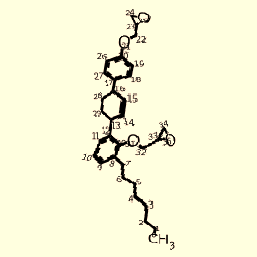 CCCCCCCCc1cccc(C2C=CC(c3ccc(OCC4CO4)cc3)CC2)c1OCC1CO1